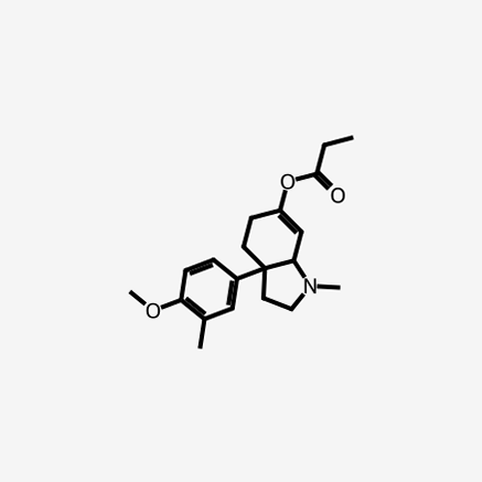 CCC(=O)OC1=CC2N(C)CCC2(c2ccc(OC)c(C)c2)CC1